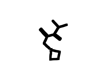 C=C(CN1CCC1)C(=C)C(C)C